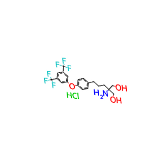 Cl.NC(CO)(CO)CCCc1ccc(Oc2cc(C(F)(F)F)cc(C(F)(F)F)c2)cc1